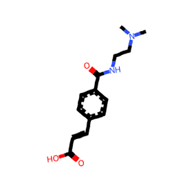 CN(C)CCNC(=O)c1ccc(C=CC(=O)O)cc1